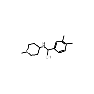 Cc1ccc(C(O)NC2CCN(C)CC2)cc1C